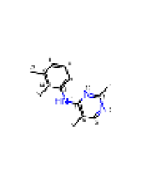 Cc1ncc(C)c(Nc2cccc(C)c2C)n1